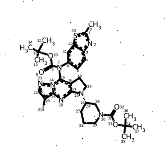 Cc1nc2ccc(N(C(=O)OC(C)(C)C)c3c4c(nc5c(I)cnn35)N([C@H]3CCCN(C(=O)OC(C)(C)C)C3)CC4)cc2s1